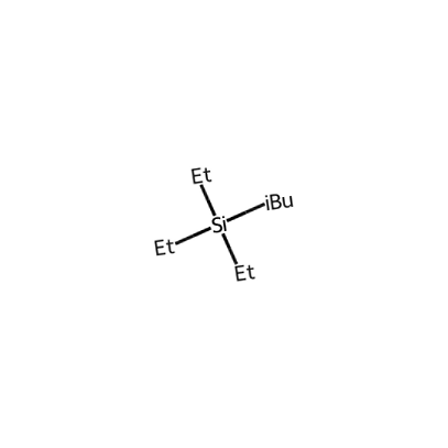 [CH2]C(CC)[Si](CC)(CC)CC